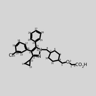 O=C(O)COCC1CCC(Cn2nc(C3CC3)c(-c3cccc(Cl)c3)c2-c2ccccc2)CC1